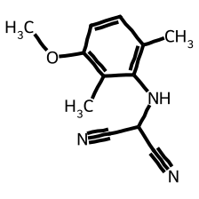 COc1ccc(C)c(NC(C#N)C#N)c1C